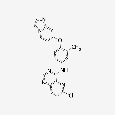 Cc1cc(Nc2ncnc3ccc(Cl)nc23)ccc1Oc1ccn2ccnc2c1